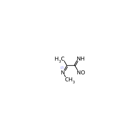 C/N=C(/C)C(=N)N=O